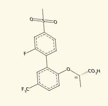 C[C@H](Oc1ccc(C(F)(F)F)cc1-c1ccc(S(C)(=O)=O)cc1F)C(=O)O